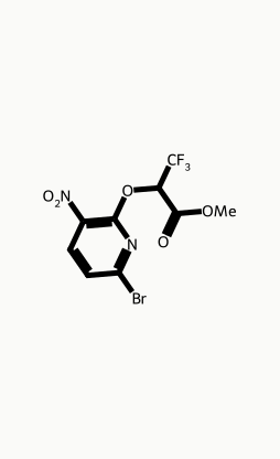 COC(=O)C(Oc1nc(Br)ccc1[N+](=O)[O-])C(F)(F)F